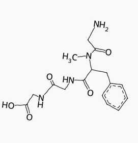 CN(C(=O)CN)C(Cc1ccccc1)C(=O)NCC(=O)NCC(=O)O